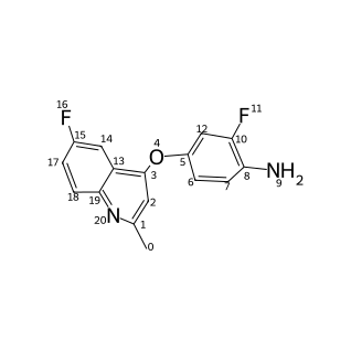 Cc1cc(Oc2ccc(N)c(F)c2)c2cc(F)ccc2n1